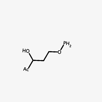 CC(=O)C(O)CCOP